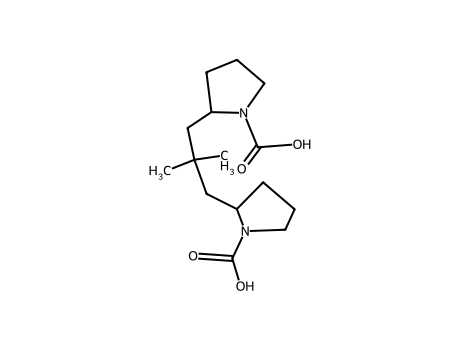 CC(C)(CC1CCCN1C(=O)O)CC1CCCN1C(=O)O